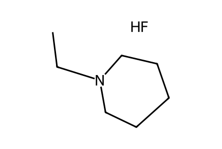 CCN1CCCCC1.F